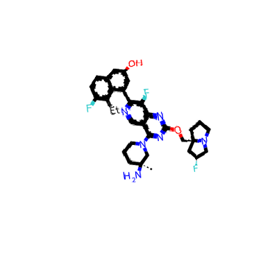 CCc1c(F)ccc2cc(O)cc(-c3ncc4c(N5CCC[C@](C)(N)C5)nc(OC[C@@]56CCCN5C[C@H](F)C6)nc4c3F)c12